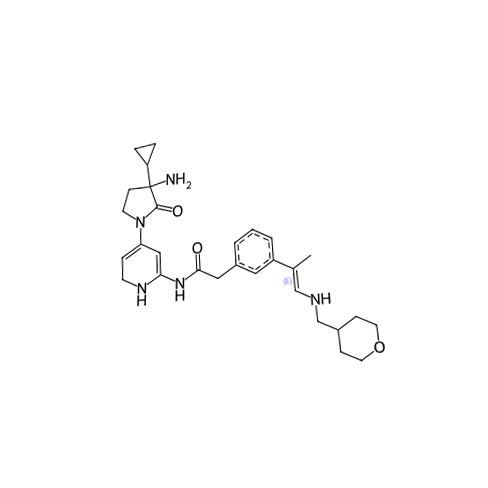 C/C(=C\NCC1CCOCC1)c1cccc(CC(=O)NC2=CC(N3CCC(N)(C4CC4)C3=O)=CCN2)c1